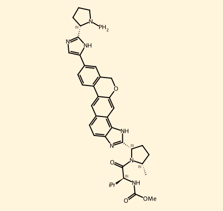 COC(=O)N[C@H](C(=O)N1[C@@H](C)CC[C@H]1c1nc2ccc3cc4c(cc3c2[nH]1)OCc1cc(-c2cnc([C@@H]3CCCN3P)[nH]2)ccc1-4)C(C)C